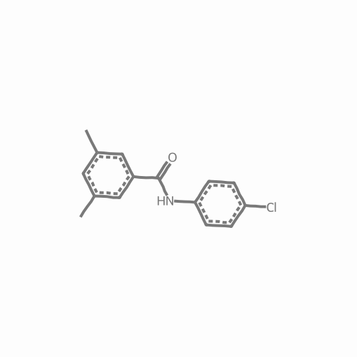 Cc1cc(C)cc(C(=O)Nc2ccc(Cl)cc2)c1